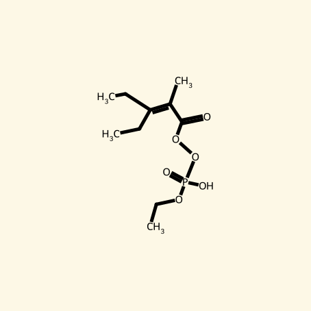 CCOP(=O)(O)OOC(=O)C(C)=C(CC)CC